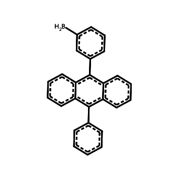 Bc1cccc(-c2c3ccccc3c(-c3ccccc3)c3ccccc23)c1